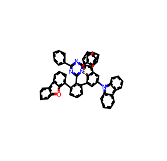 c1ccc(-c2nc(-c3ccccc3)nc(-c3c(-c4cccc5c4oc4ccccc45)cccc3-c3cc(-n4c5ccccc5c5ccccc54)cc4c3sc3ccccc34)n2)cc1